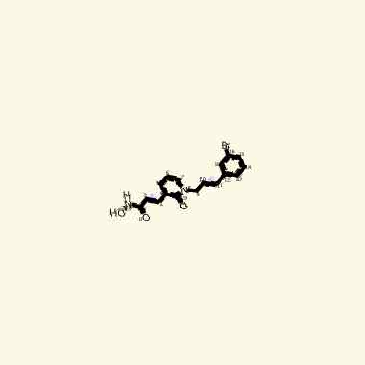 O=C(/C=C/c1cccn(C/C=C/c2cccc(Br)c2)c1=O)NO